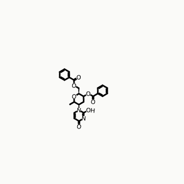 CC1O[C@@H](COC(=O)c2ccccc2)C(OC(=O)c2ccccc2)C[C@H]1n1ccc(=O)nc1O